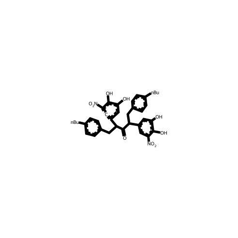 CCCCc1ccc(CC(C(=O)C(Cc2ccc(CCCC)cc2)c2cc(O)c(O)c([N+](=O)[O-])c2)c2cc(O)c(O)c([N+](=O)[O-])c2)cc1